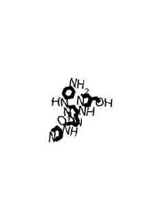 N[C@H]1CC[C@H](Nc2cc(Nc3cc(CO)ccn3)c3ncc(C(=O)Nc4ccncc4)n3n2)CC1